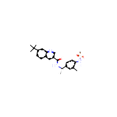 Cc1cc([C@@H](C)NC(=O)c2cnc3cc(C(C)(C)C)ccc3c2)ccc1NS(C)(=O)=O